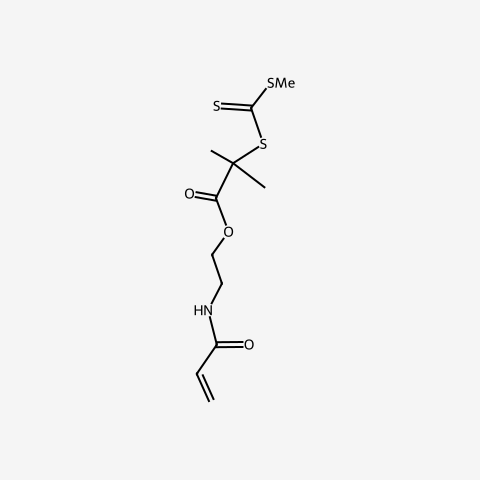 C=CC(=O)NCCOC(=O)C(C)(C)SC(=S)SC